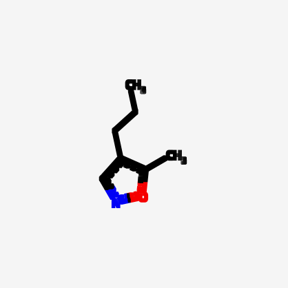 CCCc1cnoc1C